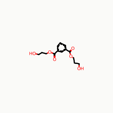 O=C(OCCCO)c1cccc(C(=O)OCCCO)c1